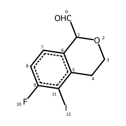 O=CC1OCCc2c1ccc(F)c2I